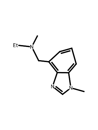 CCN(C)Cc1cccc2c1ncn2C